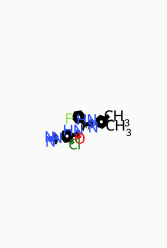 Cc1cc2nc([C@@H](CNC(=O)c3ccc(-n4cnnc4)cc3Cl)c3cccc(F)c3)[nH]c2cc1C